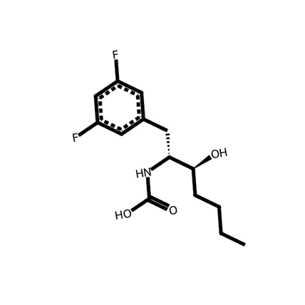 CCCC[C@H](O)[C@@H](Cc1cc(F)cc(F)c1)NC(=O)O